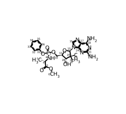 COC(=O)[C@H](C)NP(=O)(OC[C@H]1O[C@@H](n2cnc3c(N)nc(N)nc32)[C@](C)(F)[C@@H]1O)Oc1ccccc1